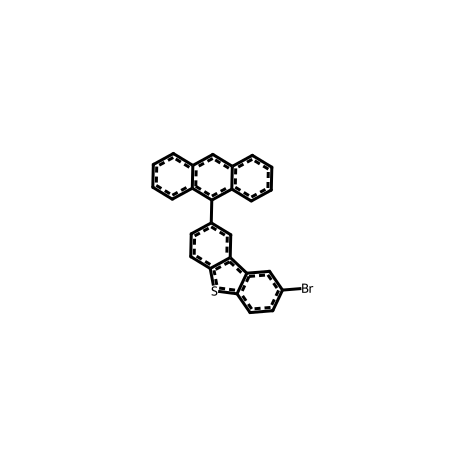 Brc1ccc2sc3ccc(-c4c5ccccc5cc5ccccc45)cc3c2c1